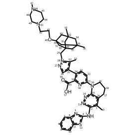 Cc1c(Nc2nc3ccccc3s2)nnc2c1CCCN2c1ccc(-c2cnn(CC34CC5(C)CC(C)(C3)CC(OCCN3CCN(C)CC3)(C5)C4)c2C)c(C(=O)O)n1